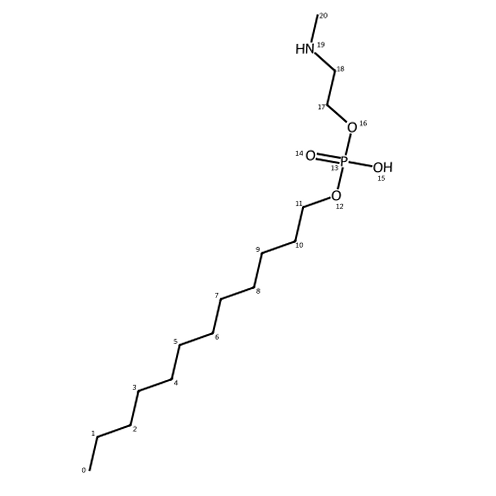 CCCCCCCCCCCCOP(=O)(O)OCCNC